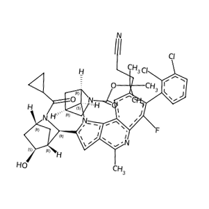 Cc1nc2c(F)c(-c3cccc(Cl)c3Cl)c(CCC#N)cc2c2c1cc([C@H]1[C@H]3C[C@H](C[C@@H]3O)N1C(=O)C1CC1)n2[C@H]1[C@@H]2C[C@H]1N(C(=O)OC(C)(C)C)C2